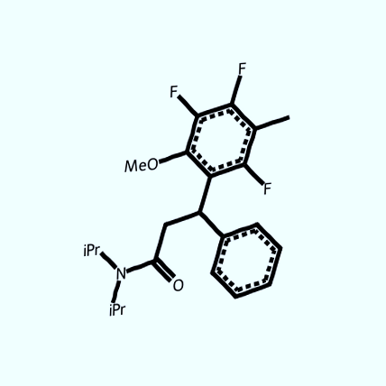 COc1c(F)c(F)c(C)c(F)c1C(CC(=O)N(C(C)C)C(C)C)c1ccccc1